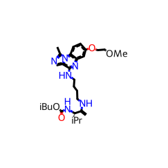 C=C(NCCCCNc1nc2cc(OCCOC)ccc2n2c(C)ncc12)[C@@H](NC(=O)OCC(C)C)C(C)C